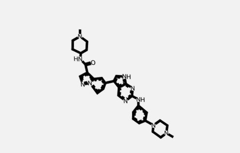 CN1CCC(NC(=O)c2cnn3ccc(-c4c[nH]c5nc(Nc6cccc(N7CCN(C)CC7)c6)ncc45)cc23)CC1